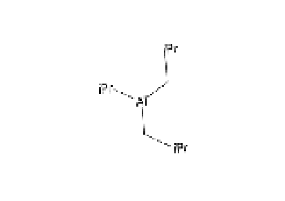 CC(C)[CH2][Al]([CH2]C(C)C)[CH](C)C